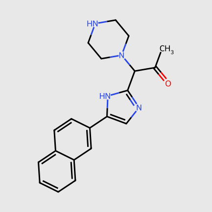 CC(=O)C(c1ncc(-c2ccc3ccccc3c2)[nH]1)N1CCNCC1